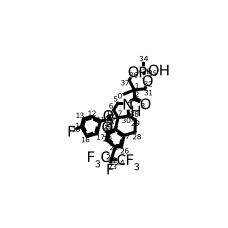 CC1(C(=O)N2CC[C@@]3(S(=O)(=O)c4ccc(F)cc4)c4ccc(C(F)(C(F)(F)F)C(F)(F)F)cc4CC[C@@H]23)CO[P](C)(O)OC1